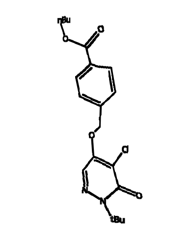 CCCCOC(=O)c1ccc(COc2cnn(C(C)(C)C)c(=O)c2Cl)cc1